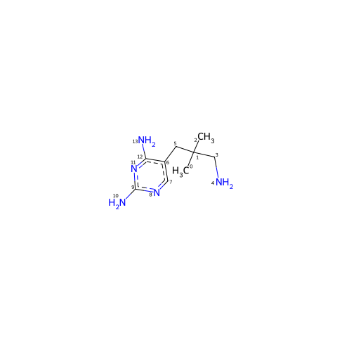 CC(C)(CN)Cc1cnc(N)nc1N